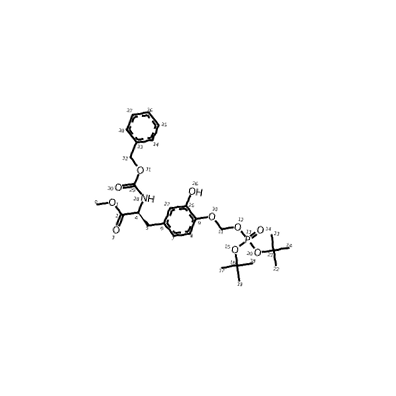 COC(=O)[C@H](Cc1ccc(OCOP(=O)(OC(C)(C)C)OC(C)(C)C)c(O)c1)NC(=O)OCc1ccccc1